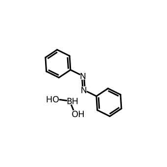 OBO.c1ccc(N=Nc2ccccc2)cc1